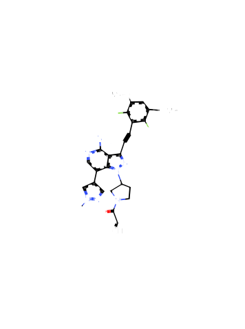 C=CC(=O)N1CCC(n2nc(C#Cc3c(F)c(OC)cc(OC)c3F)c3c(N)ncc(-c4cnn(C)c4)c32)C1